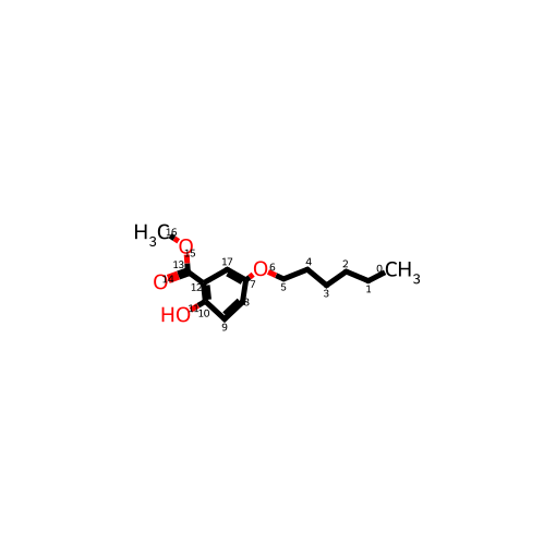 CCCCCCOc1ccc(O)c(C(=O)OC)c1